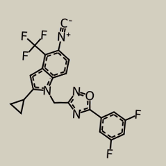 [C-]#[N+]c1ccc2c(cc(C3CC3)n2Cc2noc(-c3cc(F)cc(F)c3)n2)c1C(F)(F)F